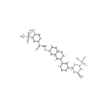 Cc1ncc(C(=O)NCc2cc3nc(-c4cccc(N5C[C@H](C)O[C@@H](C(F)(F)F)C5)n4)ccc3cn2)cc1S(C)(=O)=O